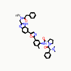 CCCN(Cc1nc2ccc(-c3cnc(-c4ccc(C)c(NC(=O)[C@@H]5CCCN5C(=O)[C@@H](c5ccccc5)N(C)C)c4)o3)cc2[nH]1)C(=O)Cc1ccccc1